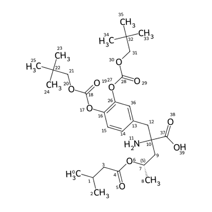 CC(C)CC(=O)O[C@@H](C)CC(N)(Cc1ccc(OC(=O)OCC(C)(C)C)c(OC(=O)OCC(C)(C)C)c1)C(=O)O